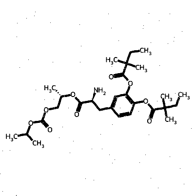 CCC(C)(C)C(=O)Oc1ccc(C[C@H](N)C(=O)O[C@@H](C)COC(=O)OC(C)C)cc1OC(=O)C(C)(C)CC